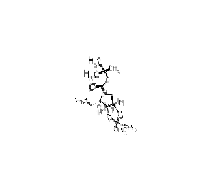 CC(C)(C)OC(=O)N1C[C@H]2OC(C)(C)O[C@H]2[C@@H]1CO